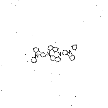 c1ccc(-n2c3ccccc3c3cc(-n4c5ccc6cccc7c6c5-c5c6c(cccc64)ccc5n7-c4ccc5c(c4)c4ccccc4n5-c4ccccc4)ccc32)cc1